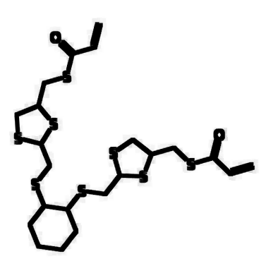 C=CC(=O)SCC1CSC(CSC2CCCCC2SCC2SCC(CSC(=O)C=C)S2)S1